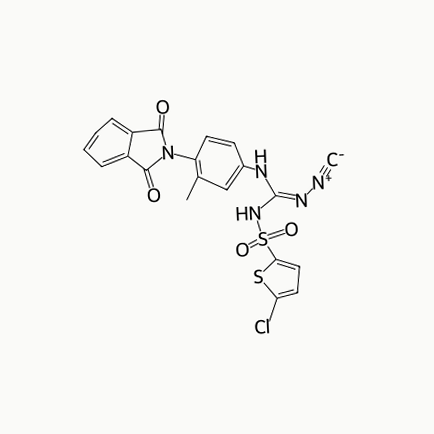 [C-]#[N+]/N=C(\Nc1ccc(N2C(=O)c3ccccc3C2=O)c(C)c1)NS(=O)(=O)c1ccc(Cl)s1